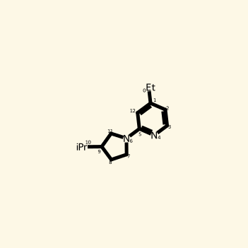 CCc1ccnc(N2CCC(C(C)C)C2)c1